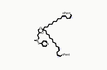 CCCCC/C=C\C/C=C\CCCCCCCCC1(CCCCCCCC/C=C\C/C=C\CCCCC)OCC(CCN(C)Sc2ccncc2)O1